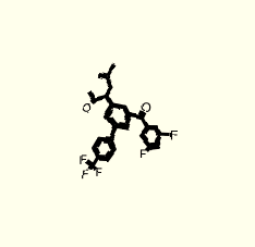 CC(=O)C(CC(C)C)c1cc(C(=O)c2cc(F)cc(F)c2)cc(-c2ccc(C(F)(F)F)cc2)c1